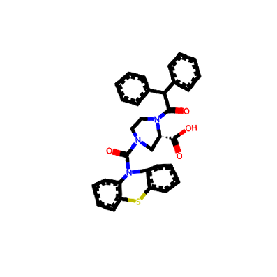 O=C(O)[C@@H]1CN(C(=O)N2c3ccccc3Sc3ccccc32)CCN1C(=O)C(c1ccccc1)c1ccccc1